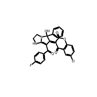 O=C1Oc2ccc(Cl)cc2C(=O)C1=C1C(C(=O)c2ccc(F)cc2)=C2NCCN2C1(O)c1ccccc1